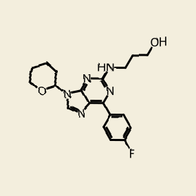 OCCCNc1nc(-c2ccc(F)cc2)c2ncn(C3CCCCO3)c2n1